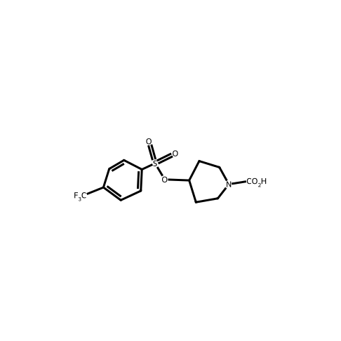 O=C(O)N1CCC(OS(=O)(=O)c2ccc(C(F)(F)F)cc2)CC1